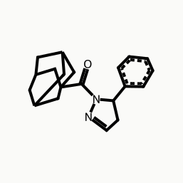 O=C(N1N=CCC1c1ccccc1)C12CC3CC(CC(C3)C1)C2